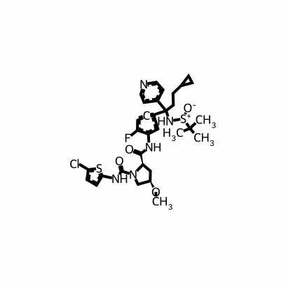 CO[C@@H]1C[C@H](C(=O)Nc2cc(C(CCC3CC3)(N[S+]([O-])C(C)(C)C)c3ccncc3)ccc2F)N(C(=O)Nc2ccc(Cl)s2)C1